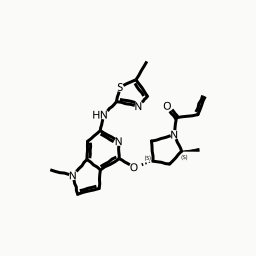 C=CC(=O)N1C[C@@H](Oc2nc(Nc3ncc(C)s3)cc3c2ccn3C)C[C@@H]1C